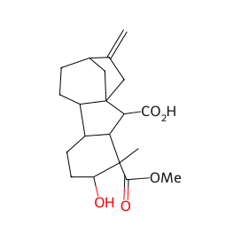 C=C1CC23CC1CCC2C1CCC(O)C(C)(C(=O)OC)C1C3C(=O)O